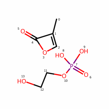 CC1=COC1=O.O=P(O)(O)OCCO